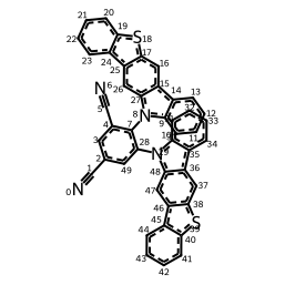 N#Cc1cc(C#N)c(-n2c3ccccc3c3cc4sc5ccccc5c4cc32)c(-n2c3ccccc3c3cc4sc5ccccc5c4cc32)c1